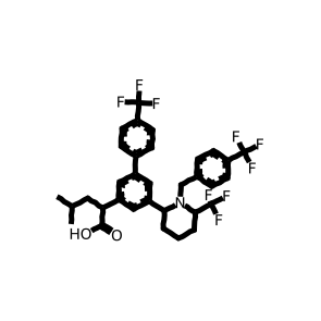 CC(C)CC(C(=O)O)c1cc(-c2ccc(C(F)(F)F)cc2)cc(C2CCCC(C(F)(F)F)N2Cc2ccc(C(F)(F)F)cc2)c1